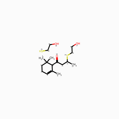 CC1=CCCC(C)(C)C1C(=O)CC(C)SCCO.OCCS